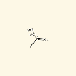 Cl.Cl.FP=S